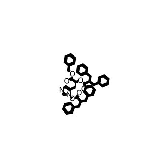 O=C(O[C@@H](Cc1cncn1OC(=O)C(Cc1ccccc1)Cc1ccccc1)C(=O)OCc1ccccc1)C(Cc1ccccc1)Cc1ccccc1